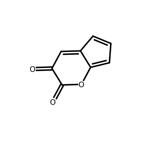 O=C1C=C2C=CC=C2OC1=O